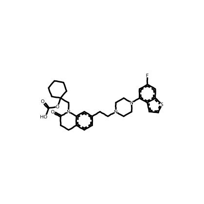 O=C(O)OC1(CN2C(=O)CCc3ccc(CCN4CCN(c5cc(F)cc6sccc56)CC4)cc32)CCCCC1